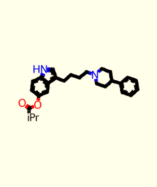 CC(C)C(=O)Oc1ccc2[nH]cc(CCCCN3CCC(c4ccccc4)CC3)c2c1